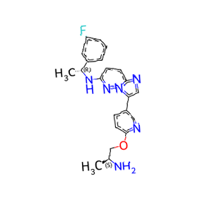 C[C@H](N)COc1ccc(-c2cnc3ccc(N[C@H](C)c4cccc(F)c4)nn23)cn1